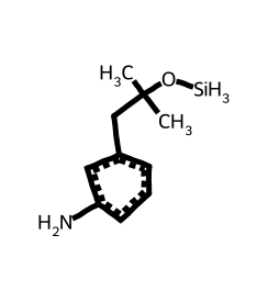 CC(C)(Cc1cccc(N)c1)O[SiH3]